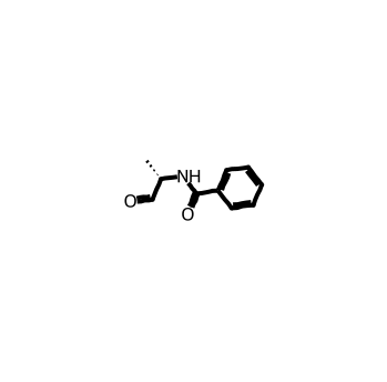 C[C@@H](C=O)NC(=O)c1ccccc1